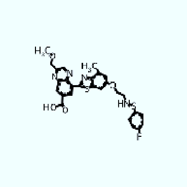 COCc1cnc2c(-c3nc4c(C)cc(OCCNSc5ccc(F)cc5)cc4s3)cc(C(=O)O)cc2n1